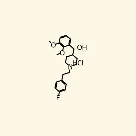 COc1cccc([C@H](O)C2CCN(CCc3ccc(F)cc3)CC2)c1OC.Cl